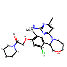 COc1cc(C2COCCCN2c2cc(C)nc(N)n2)c(Cl)cc1OCC(=O)N1CCCCC1